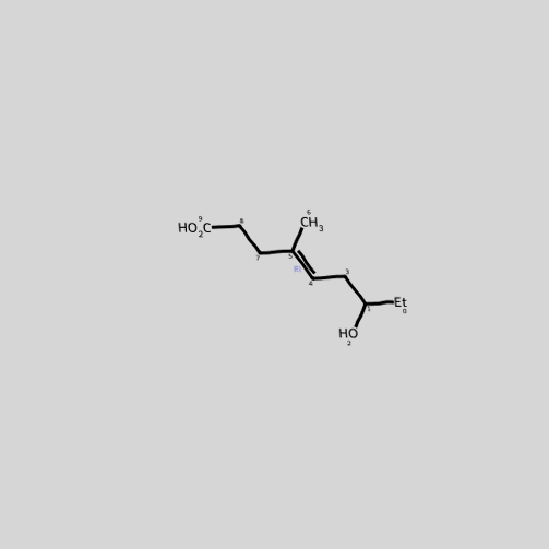 CCC(O)C/C=C(\C)CCC(=O)O